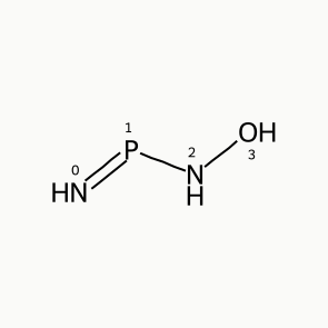 N=PNO